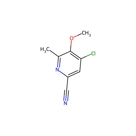 COc1c(Cl)cc(C#N)nc1C